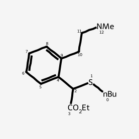 CCCCSC(C(=O)OCC)c1ccccc1CCNC